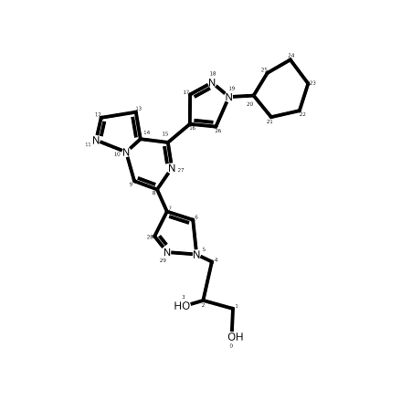 OCC(O)Cn1cc(-c2cn3nccc3c(-c3cnn(C4CCCCC4)c3)n2)cn1